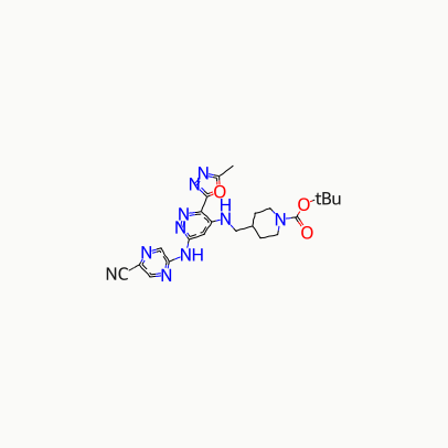 Cc1nnc(-c2nnc(Nc3cnc(C#N)cn3)cc2NCC2CCN(C(=O)OC(C)(C)C)CC2)o1